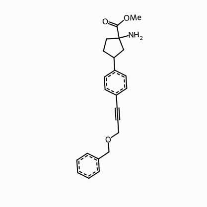 COC(=O)C1(N)CCC(c2ccc(C#CCOCc3ccccc3)cc2)C1